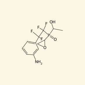 CC(O)P(=O)(C1CO1)C(F)(F)C(F)(F)c1cccc(N)c1